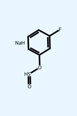 O=[SH]Oc1cccc(F)c1.[NaH]